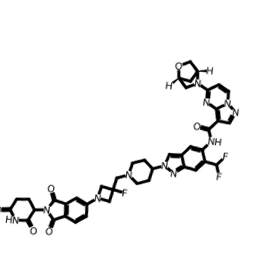 O=C1CCC(N2C(=O)c3ccc(N4CC(F)(CN5CCC(n6cc7cc(NC(=O)c8cnn9ccc(N%10C[C@H]%11C[C@@H]%10CO%11)nc89)c(C(F)F)cc7n6)CC5)C4)cc3C2=O)C(=O)N1